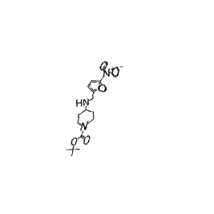 CC(C)(C)OC(=O)N1CCC(NCc2ccc([N+](=O)[O-])o2)CC1